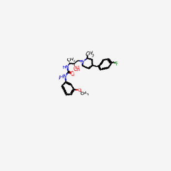 COc1cccc(NC(=O)N[C@H](C)[C@H](O)CN2CCC(c3ccc(F)cc3)CC2C)c1